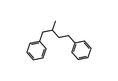 CC([CH]c1ccccc1)CCc1ccccc1